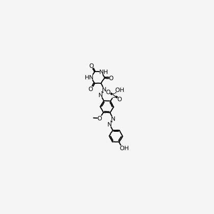 COc1cc(N=NC2C(=O)NC(=O)NC2=O)c(S(=O)(=O)O)cc1N=Nc1ccc(O)cc1